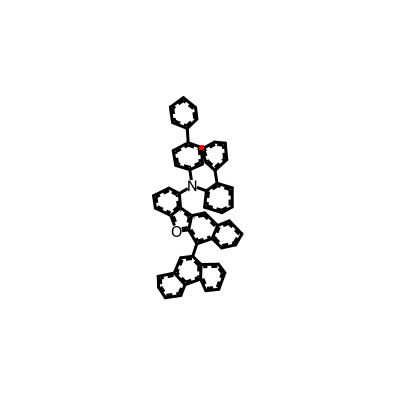 c1ccc(-c2ccc(N(c3ccccc3-c3ccccc3)c3cccc4oc5c(-c6cc7ccccc7c7ccccc67)c6ccccc6cc5c34)cc2)cc1